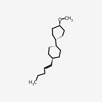 CCCC=C[C@H]1CC[C@H]([C@H]2CC[C@H](OC)CC2)CC1